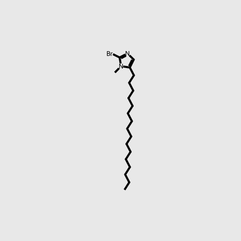 CCCCCCCCCCCCCCCCc1cnc(Br)n1C